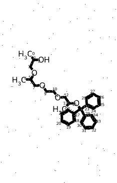 CC(O)COC(C)COCCOCC(C)OC(c1ccccc1)(c1ccccc1)c1ccccc1